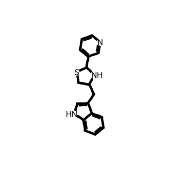 c1cncc(C2NC(Cc3c[nH]c4ccccc34)CS2)c1